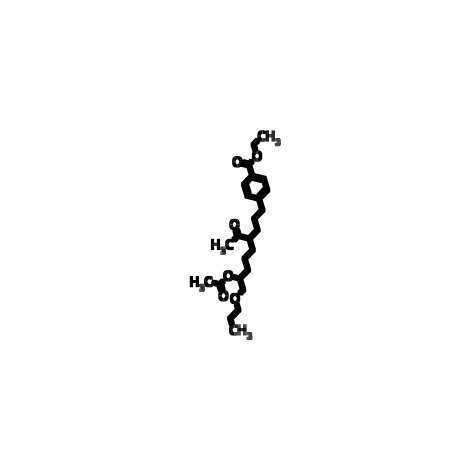 CCCOCC(CCCC(CCCc1ccc(C(=O)OCC)cc1)C(C)=O)OC(C)=O